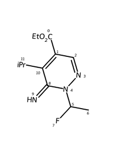 CCOC(=O)c1cnn(C(C)F)c(=N)c1C(C)C